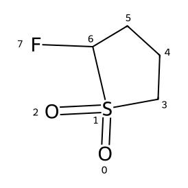 O=S1(=O)CCCC1F